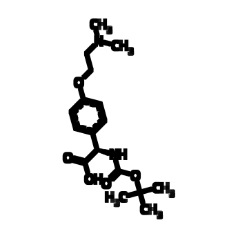 CN(C)CCOc1ccc([C@@H](NC(=O)OC(C)(C)C)C(=O)O)cc1